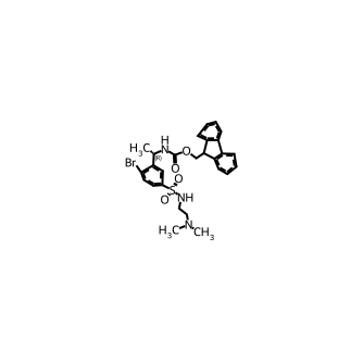 C[C@@H](NC(=O)OCC1c2ccccc2-c2ccccc21)c1cc(S(=O)(=O)NCCN(C)C)ccc1Br